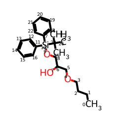 CCCCOCC(O)CO[Si](c1ccccc1)(c1ccccc1)C(C)(C)C